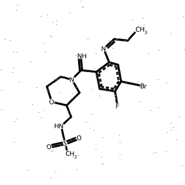 CC/C=N\c1cc(Br)c(F)cc1C(=N)N1CCOC(CNS(C)(=O)=O)C1